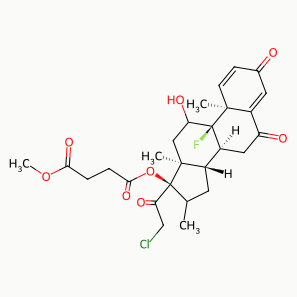 COC(=O)CCC(=O)O[C@]1(C(=O)CCl)C(C)C[C@H]2[C@@H]3CC(=O)C4=CC(=O)C=C[C@]4(C)[C@@]3(F)C(O)C[C@@]21C